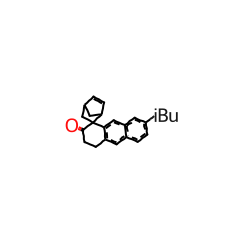 CCC(C)c1ccc2cc3c(cc2c1)C1(CC2C=CC1C2)C(=O)CC3